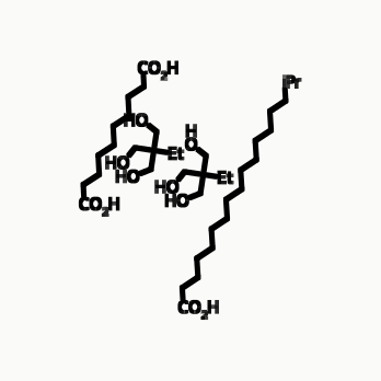 CC(C)CCCCCCCCCCCCCCC(=O)O.CCC(CO)(CO)CO.CCC(CO)(CO)CO.O=C(O)CCCCCCCCC(=O)O